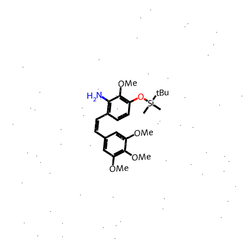 COc1cc(/C=C\c2ccc(O[Si](C)(C)C(C)(C)C)c(OC)c2N)cc(OC)c1OC